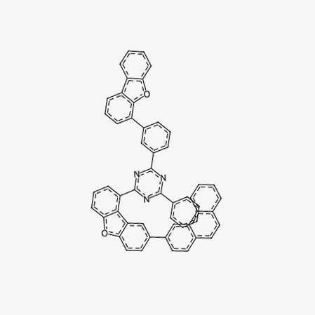 c1ccc(-c2nc(-c3cccc(-c4cccc5c4oc4ccccc45)c3)nc(-c3cccc4oc5ccc(-c6ccc7ccc8ccccc8c7c6)cc5c34)n2)cc1